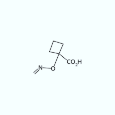 C=NOC1(C(=O)O)CCC1